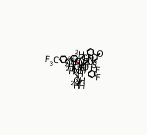 [2H]C([2H])([2H])OCCN1C([2H])([2H])C([2H])([2H])C([2H])(N(C(=O)C([2H])([2H])n2c(SCc3cccc(F)c3F)cc(=O)c3ccccc32)C([2H])(C)c2ccc(-c3ccc(C(F)(F)F)cc3)cc2)C([2H])([2H])C1([2H])[2H]